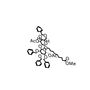 COC(=O)CCCCCCCCO[C@H]1O[C@@H]2COC(c3ccccc3)O[C@H]2[C@H](OC(C)=O)[C@H]1O[C@H]1O[C@H](COC(C)=O)[C@@H](OCc2ccccc2)[C@H](OCc2ccccc2)[C@H]1OCc1ccccc1